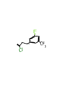 C=C(Cl)C[CH]c1cc(F)cc(C(F)(F)F)c1